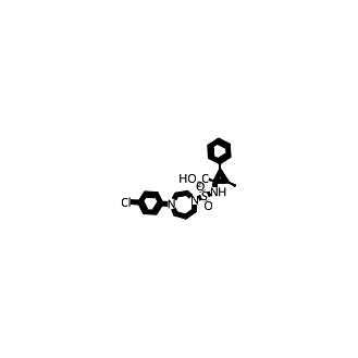 C[C@@H]1[C@H](c2ccccc2)[C@]1(NS(=O)(=O)N1CCCN(c2ccc(Cl)cc2)CC1)C(=O)O